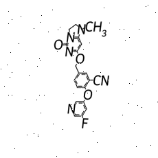 CN1CCn2c1cc(OCc1ccc(Oc3cncc(F)c3)c(C#N)c1)nc2=O